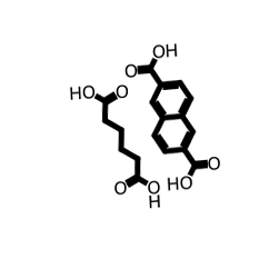 O=C(O)CCCCC(=O)O.O=C(O)c1ccc2cc(C(=O)O)ccc2c1